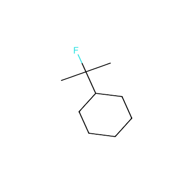 CC(C)(F)C1CCCCC1